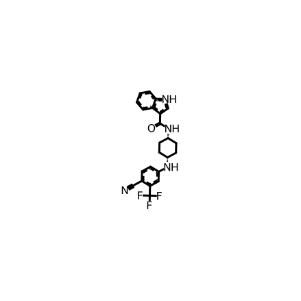 N#Cc1ccc(N[C@H]2CC[C@@H](NC(=O)c3c[nH]c4ccccc34)CC2)cc1C(F)(F)F